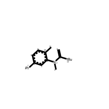 C=C(N(C)c1cc(C(C)C)ccc1C)C(C)(C)C